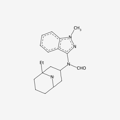 CCC12CCCC(CC(N(C=O)c3nn(C)c4ccccc34)C1)[N]2